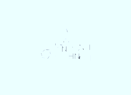 C=CCOC(=O)N(CC1(C(=N)NO)CC1)C1CC1c1ccccc1